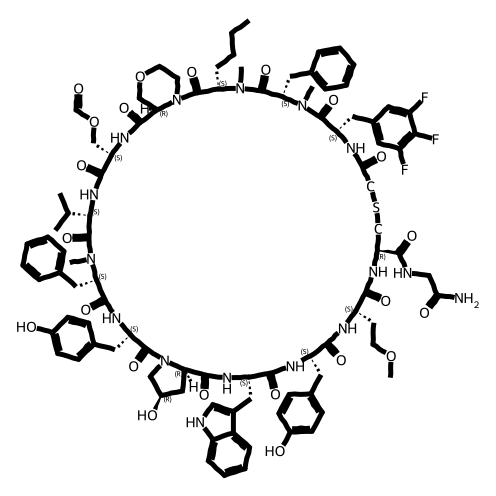 CCCC[C@H]1C(=O)N2CCOC[C@@H]2C(=O)N[C@@H](COC=O)C(=O)N[C@@H](C(C)C)C(=O)N(C)[C@@H](Cc2ccccc2)C(=O)N[C@@H](Cc2ccc(O)cc2)C(=O)N2C[C@H](O)C[C@@H]2C(=O)N[C@@H](Cc2c[nH]c3ccccc23)C(=O)N[C@@H](Cc2ccc(O)cc2)C(=O)N[C@@H](CCOC)C(=O)N[C@H](C(=O)NCC(N)=O)CSCC(=O)N[C@@H](Cc2cc(F)c(F)c(F)c2)C(=O)N(C)[C@@H](Cc2ccccc2)C(=O)N1C